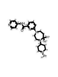 [2H]C1([2H])CCN(c2cccc(C(=O)Nc3ccncc3)n2)CCN1C1CCN(C(C)C)CC1